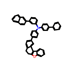 c1ccc(-c2ccc(N(c3ccc(-c4ccc5c(c4)-c4c(oc6ccccc46)CC5)cc3)c3cccc(-c4ccc5ccccc5c4)c3)cc2)cc1